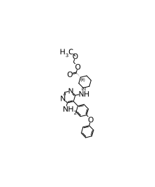 COCOC(=O)[C@@H]1CCC[C@H](Nc2ncnc(N)c2-c2ccc(Oc3ccccc3)cc2)C1